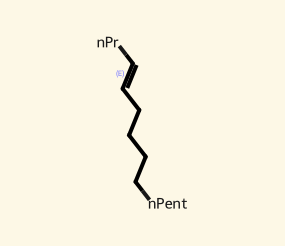 [CH2]CCCCCCCC/C=C/CCC